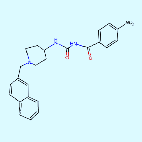 O=C(NC(=O)c1ccc([N+](=O)[O-])cc1)NC1CCN(Cc2ccc3ccccc3c2)CC1